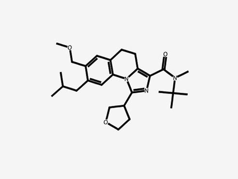 COCc1cc2c(cc1CC(C)C)-n1c(C3CCOC3)nc(C(=O)N(C)C(C)(C)C)c1CC2